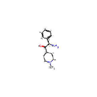 CN1CCC(C(=O)C(N)c2c[c]ccc2)CC1